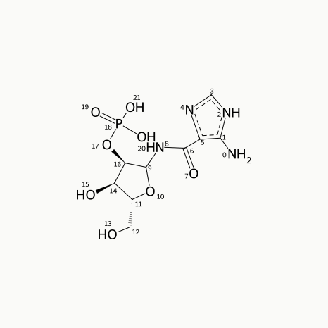 Nc1[nH]cnc1C(=O)NC1O[C@H](CO)[C@@H](O)[C@H]1OP(=O)(O)O